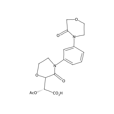 CC(=O)O[C@@H](C(=O)O)C1OCCN(c2cccc(N3CCOCC3=O)c2)C1=O